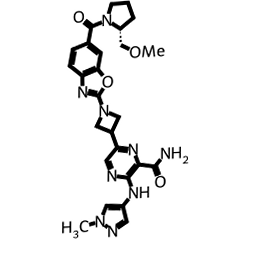 COC[C@H]1CCCN1C(=O)c1ccc2nc(N3CC(c4cnc(Nc5cnn(C)c5)c(C(N)=O)n4)C3)oc2c1